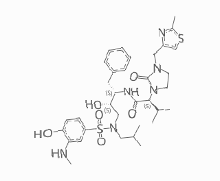 CNc1cc(S(=O)(=O)N(CC(C)C)C[C@H](O)[C@H](Cc2ccccc2)NC(=O)[C@H](C(C)C)N2CCN(Cc3csc(C)n3)C2=O)ccc1O